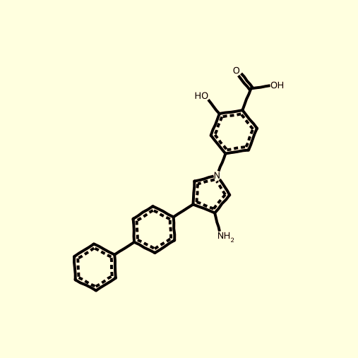 Nc1cn(-c2ccc(C(=O)O)c(O)c2)cc1-c1ccc(-c2ccccc2)cc1